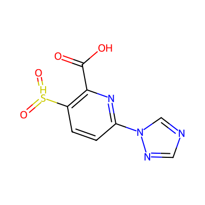 O=C(O)c1nc(-n2cncn2)ccc1[SH](=O)=O